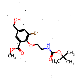 COC(=O)c1cc(CO)cc(Br)c1OCCNC(=O)OC(C)(C)C